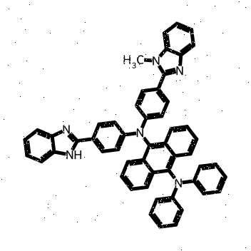 Cn1c(-c2ccc(N(c3ccc(-c4nc5ccccc5[nH]4)cc3)c3c4ccccc4c(N(c4ccccc4)c4ccccc4)c4ccccc34)cc2)nc2ccccc21